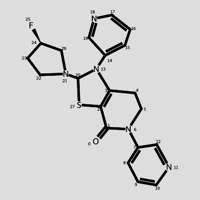 O=C1C2=C(CCN1c1cccnc1)N(c1cccnc1)C(N1CC[C@@H](F)C1)S2